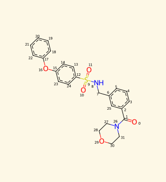 O=C(c1cccc(CNS(=O)(=O)c2ccc(Oc3ccccc3)cc2)c1)N1CCOCC1